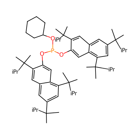 CC(C)C(C)(C)c1cc(C(C)(C)C(C)C)c2cc(OP(Oc3cc4c(C(C)(C)C(C)C)cc(C(C)(C)C(C)C)cc4cc3C(C)(C)C(C)C)OC3CCCCC3)c(C(C)(C)C(C)C)cc2c1